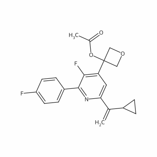 C=C(c1cc(C2(OC(C)=O)COC2)c(F)c(-c2ccc(F)cc2)n1)C1CC1